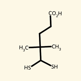 CC(C)(CCC(=O)O)C(S)S